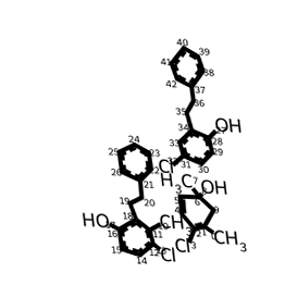 CC1=C(Cl)C=CC(C)(O)C1.Cc1c(Cl)ccc(O)c1CCc1ccccc1.Oc1ccc(Cl)cc1CCc1ccccc1